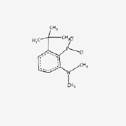 CN(C)c1cccc(C(C)(C)C)c1P(Cl)Cl